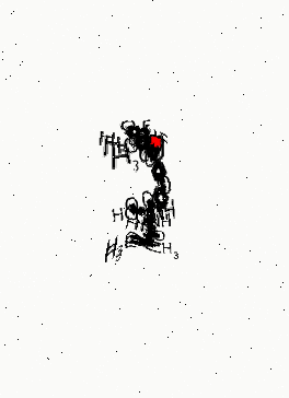 CCC(C)(CC)SCC(=O)NCC(=O)N[C@@H](CCC(=O)O)C(=O)NC1CCC(Oc2ccc([C@@H]3O[C@@H]4C[C@H]5[C@@H]6C[C@H](F)C7=CC(=O)C=C[C@]7(C)[C@@]6(F)[C@@H](O)C[C@]5(C)[C@]4(C(=O)SCF)O3)cc2)CC1